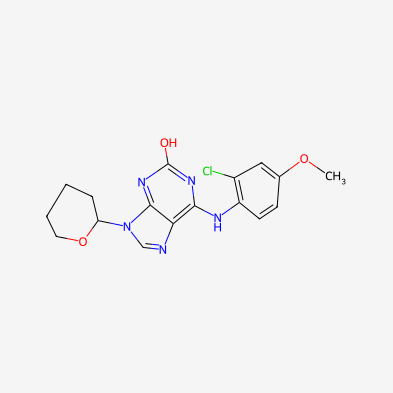 COc1ccc(Nc2nc(O)nc3c2ncn3C2CCCCO2)c(Cl)c1